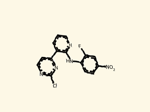 O=[N+]([O-])c1ccc(Nc2ncccc2-c2ccnc(Cl)n2)c(F)c1